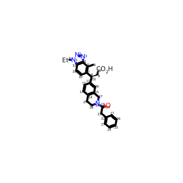 CCn1nnc2c(C)c([C@@H](CC(=O)O)c3ccc4c(c3)CN(C(=O)Cc3ccccc3)CC4)ccc21